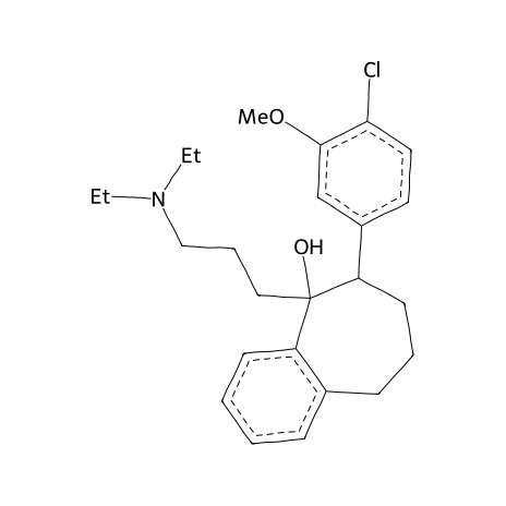 CCN(CC)CCCC1(O)c2ccccc2CCCC1c1ccc(Cl)c(OC)c1